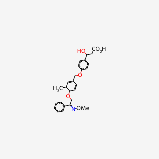 CO/N=C(\COC1C=CC(COc2ccc(C(O)CC(=O)O)cc2)=CC1C)c1ccccc1